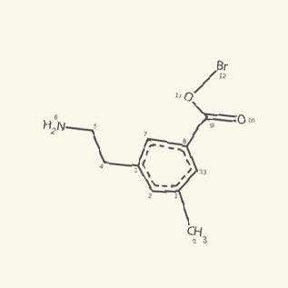 Cc1cc(CCN)cc(C(=O)OBr)c1